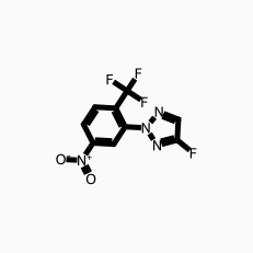 O=[N+]([O-])c1ccc(C(F)(F)F)c(-n2ncc(F)n2)c1